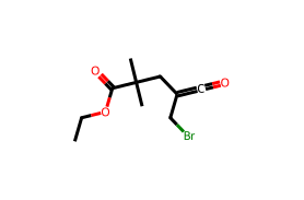 CCOC(=O)C(C)(C)CC(=C=O)CBr